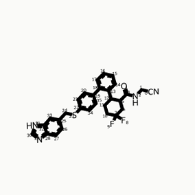 N#CCNC(=O)C1CC(F)(F)CCC1c1ccccc1-c1ccc(SCc2ccc3nc[nH]c3c2)cc1